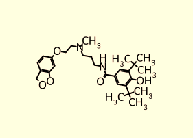 CN(CCCNC(=O)c1cc(C(C)(C)C)c(O)c(C(C)(C)C)c1)CCOc1ccc2c(c1)OOC2